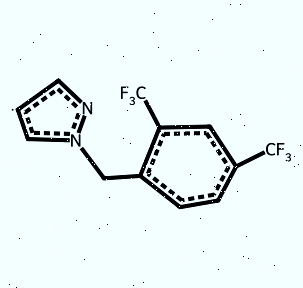 FC(F)(F)c1ccc(Cn2c[c]cn2)c(C(F)(F)F)c1